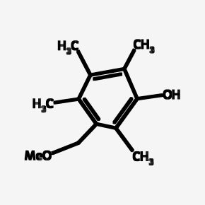 COCc1c(C)c(C)c(C)c(O)c1C